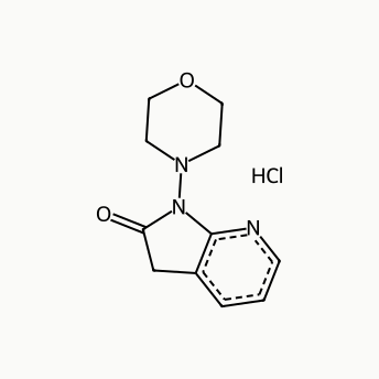 Cl.O=C1Cc2cccnc2N1N1CCOCC1